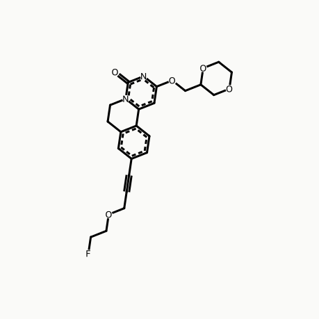 O=c1nc(OCC2COCCO2)cc2n1CCc1cc(C#CCOCCF)ccc1-2